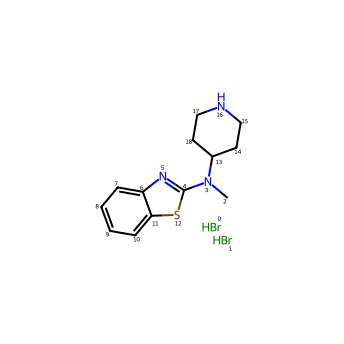 Br.Br.CN(c1nc2ccccc2s1)C1CCNCC1